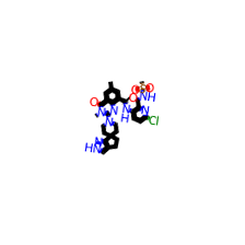 Cc1cc([C@@H](C)Nc2ccc(Cl)nc2C(=O)NS(C)(=O)=O)c2nc(N3CCC4(CCc5c[nH]nc54)CC3)n(C)c(=O)c2c1